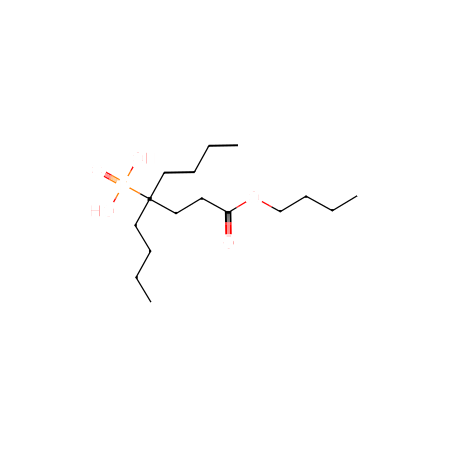 CCCCOC(=O)CCC(CCCC)(CCCC)P(=O)(O)O